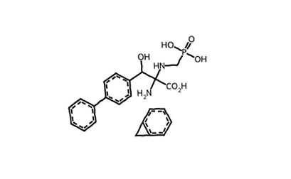 NC(NCP(=O)(O)O)(C(=O)O)C(O)c1ccc(-c2ccccc2)cc1.c1ccc2c(c1)C2